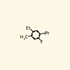 CCc1cc(C(C)C)c(F)cc1C